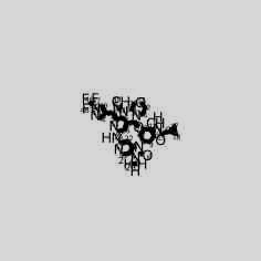 [2H]C([2H])([2H])n1c(=O)n(C2CCC(C)(NC(=O)C3CC3)CC2)c2cc(Nc3cc(C(=O)N4CCOCC4)c4nn(C)c(-c5cnn(C(F)(F)F)c5)c4n3)ncc21